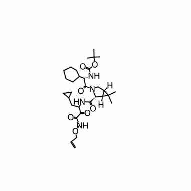 C=CCONC(=O)C(=O)C(CC1CC1)NC(=O)[C@@H]1[C@@H]2[C@H](CN1C(=O)[C@@H](NC(=O)OC(C)(C)C)C1CCCCC1)C2(C)C